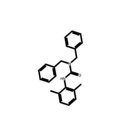 Cc1cccc(C)c1NC(=O)N(Cc1ccccc1)Cc1ccccc1